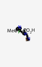 COc1ccc2nccc(C(F)CC[C@@H]3CCN(CC#Cc4nccs4)C[C@@H]3CC(=O)O)c2c1